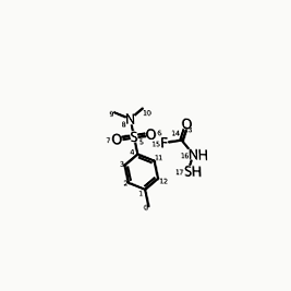 Cc1ccc(S(=O)(=O)N(C)C)cc1.O=C(F)NS